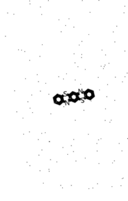 c1ccc2c(c1)N=c1cc3c(cc1S2)=Nc1ccccc1S3